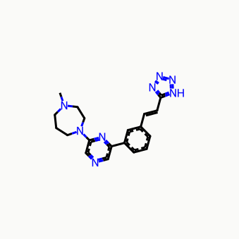 CN1CCCN(c2cncc(-c3cccc(C=Cc4nnn[nH]4)c3)n2)CC1